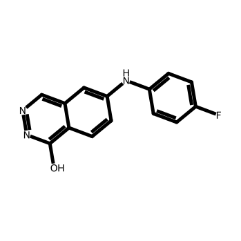 Oc1nncc2cc(Nc3ccc(F)cc3)ccc12